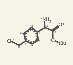 CC(C)(C)OC(=O)C(N)c1ccc(CCl)cc1